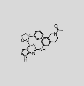 CC(=O)N1CCc2cc(Nc3nc(N4OCC[C@H]4c4ccccc4)c4cc[nH]c4n3)ccc2C1